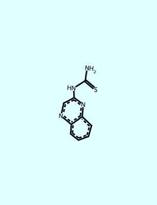 NC(=S)Nc1cnc2ccccc2n1